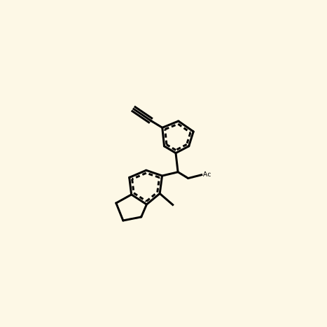 C#Cc1cccc(C(CC(C)=O)c2ccc3c(c2C)CCC3)c1